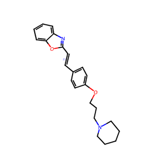 C(=C\c1nc2ccccc2o1)/c1ccc(OCCCN2CCCCC2)cc1